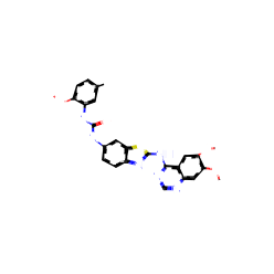 COc1ccc(C)cc1NC(=O)Nc1ccc2nc(Nc3ncnc4cc(OC)c(OC)cc34)sc2c1